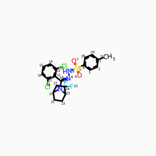 Cc1ccc(S(=O)(=O)N/N=C(\c2c(Cl)cccc2Cl)N2C3CCC2C(F)(F)C3)cc1